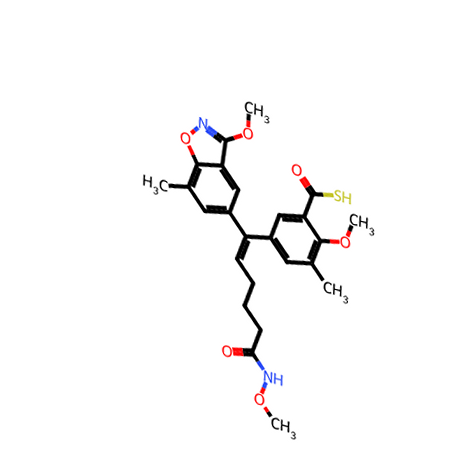 CONC(=O)CCC/C=C(\c1cc(C)c(OC)c(C(=O)S)c1)c1cc(C)c2onc(OC)c2c1